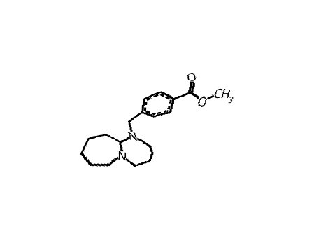 COC(=O)c1ccc(CN2CCCN3CCCCCC32)cc1